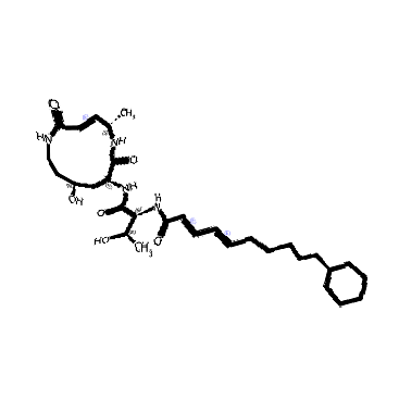 C[C@H]1/C=C/C(=O)NCC[C@H](O)C[C@H](NC(=O)[C@@H](NC(=O)/C=C/C=C/CCCCCC2CCCCC2)[C@@H](C)O)C(=O)N1